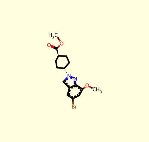 COc1cc(Br)cc2cn([C@H]3CC[C@H](C(=O)OC)CC3)nc12